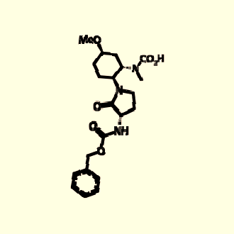 CO[C@@H]1CC[C@H](N2CC[C@H](NC(=O)OCc3ccccc3)C2=O)[C@@H](N(C)C(=O)O)C1